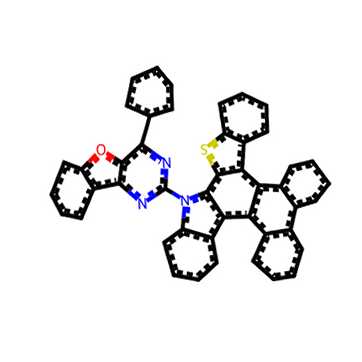 c1ccc(-c2nc(-n3c4ccccc4c4c5c6ccccc6c6ccccc6c5c5c6ccccc6sc5c43)nc3c2oc2ccccc23)cc1